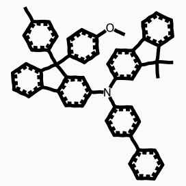 COc1ccc(C2(c3ccc(C)cc3)c3ccccc3-c3ccc(N(c4ccc(-c5ccccc5)cc4)c4ccc5c(c4)C(C)(C)c4ccccc4-5)cc32)cc1